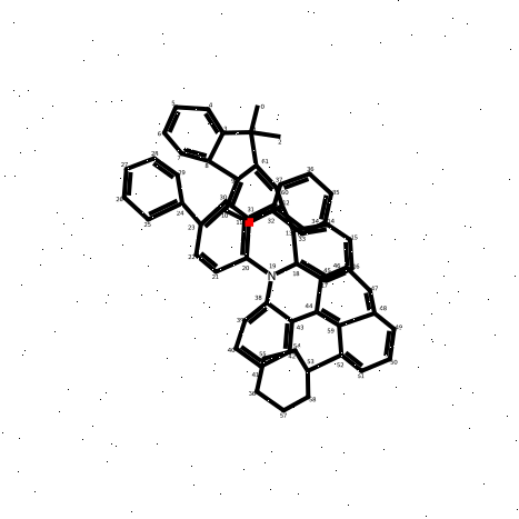 CC1(C)c2ccccc2-c2ccc(-c3ccccc3N(c3ccc(-c4ccccc4)cc3-c3ccccc3)c3ccccc3-c3cccc4cccc(C5CCCCC5)c34)cc21